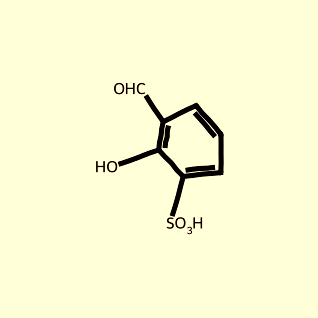 O=Cc1cccc(S(=O)(=O)O)c1O